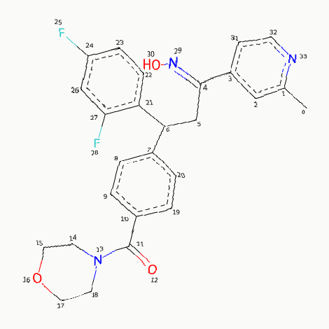 Cc1cc(/C(CC(c2ccc(C(=O)N3CCOCC3)cc2)c2ccc(F)cc2F)=N/O)ccn1